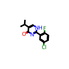 CC(C)c1c[nH]c(-c2cc(Cl)ccc2F)nc1=O